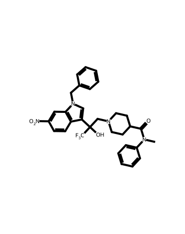 CN(C(=O)C1CCN(CC(O)(c2cn(Cc3ccccc3)c3cc([N+](=O)[O-])ccc23)C(F)(F)F)CC1)c1ccccc1